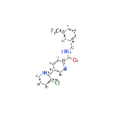 O=C(NCc1cccc(C(F)(F)F)c1)c1ccc(-c2ncccc2Cl)cn1